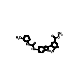 COC(=O)c1cnc(N)c(-c2cc3cc(NC(=O)Nc4cccc(C)c4)ccc3s2)c1